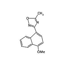 COc1ccc(-c2noc(C)n2)c2ccccc12